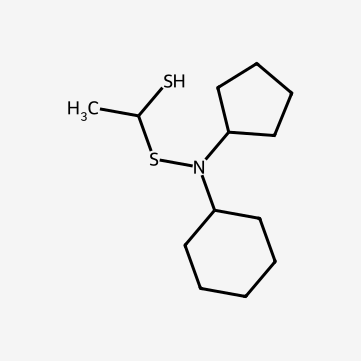 CC(S)SN(C1CCCCC1)C1CCCC1